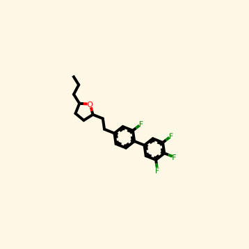 CCCC1CCC(CCc2ccc(-c3cc(F)c(F)c(F)c3)c(F)c2)O1